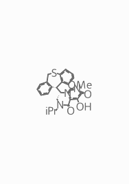 COc1nc(=O)c(O)c2n1[C@@H]([C@@H]1c3ccccc3CSc3ccccc31)CN(C(C)C)C2=O